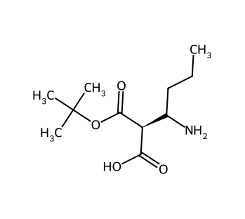 CCCC(N)[C@@H](C(=O)O)C(=O)OC(C)(C)C